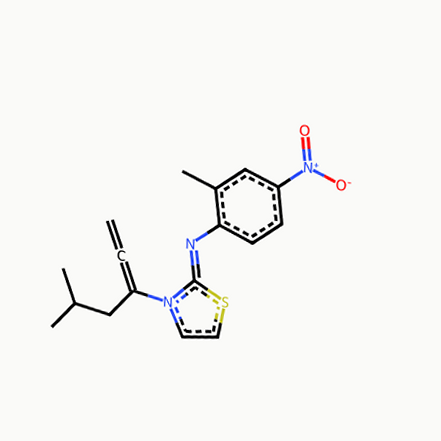 C=C=C(CC(C)C)n1ccsc1=Nc1ccc([N+](=O)[O-])cc1C